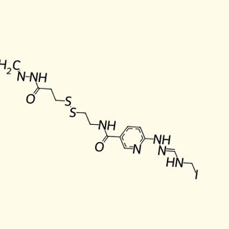 C=NNC(=O)CCSSCCNC(=O)c1ccc(N/N=C/NCI)nc1